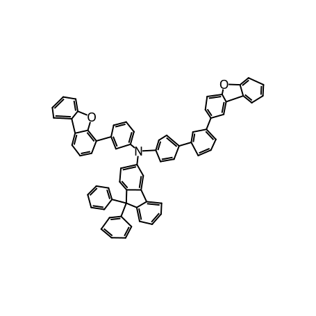 c1ccc(C2(c3ccccc3)c3ccccc3-c3cc(N(c4ccc(-c5cccc(-c6ccc7oc8ccccc8c7c6)c5)cc4)c4cccc(-c5cccc6c5oc5ccccc56)c4)ccc32)cc1